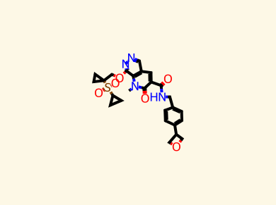 Cn1c(=O)c(C(=O)NCc2ccc(C3COC3)cc2)cc2cnnc(OCC3(S(=O)(=O)C4CC4)CC3)c21